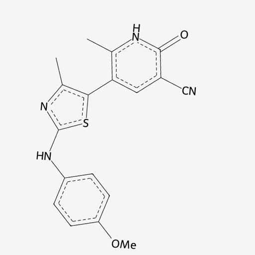 COc1ccc(Nc2nc(C)c(-c3cc(C#N)c(=O)[nH]c3C)s2)cc1